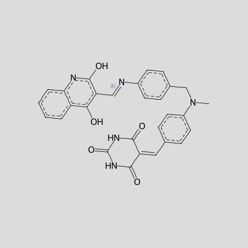 CN(Cc1ccc(/N=C/c2c(O)nc3ccccc3c2O)cc1)c1ccc(C=C2C(=O)NC(=O)NC2=O)cc1